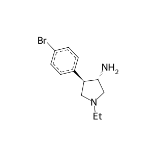 CCN1C[C@@H](N)[C@H](c2ccc(Br)cc2)C1